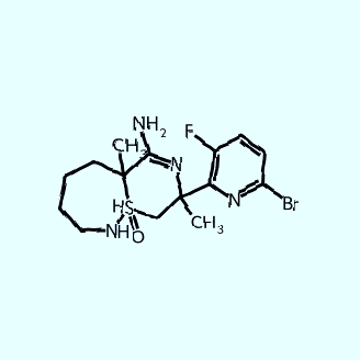 CC1(c2nc(Br)ccc2F)C[SH]2(=O)NCCCCC2(C)C(N)=N1